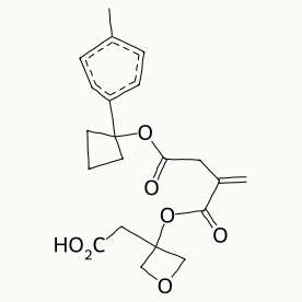 C=C(CC(=O)OC1(c2ccc(C)cc2)CCC1)C(=O)OC1(CC(=O)O)COC1